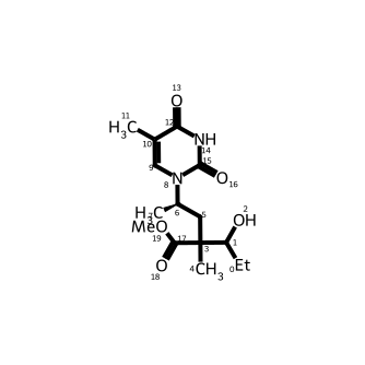 CCC(O)C(C)(C[C@@H](C)n1cc(C)c(=O)[nH]c1=O)C(=O)OC